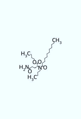 CCCCCCCCCCCC(=O)N(CCCC)[C@@H](CCC(N)=O)C(=O)OCCCC